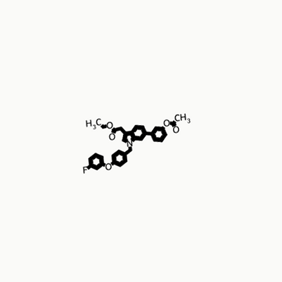 CCOC(=O)Cc1cn(Cc2ccc(Oc3cccc(F)c3)cc2)c2cc(-c3cccc(OC(C)=O)c3)ccc12